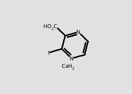 O=C(O)c1nccnc1I.[CaH2]